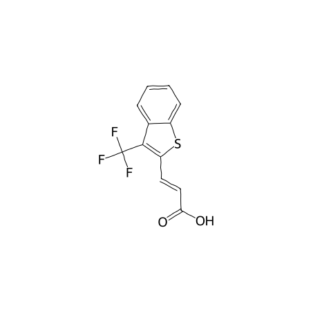 O=C(O)C=Cc1sc2ccccc2c1C(F)(F)F